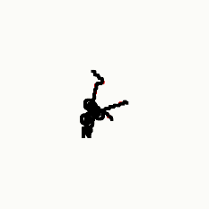 CCCCC/C=C\C/C=C\CCCCCCCC(=O)OCC(COC(=O)/C=C(\CCCCC)CCCCCCCCCC)COC(=O)OCC1CCCN(C)C1